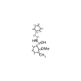 COc1c(C)cccc1C(O)NCCc1ccccc1